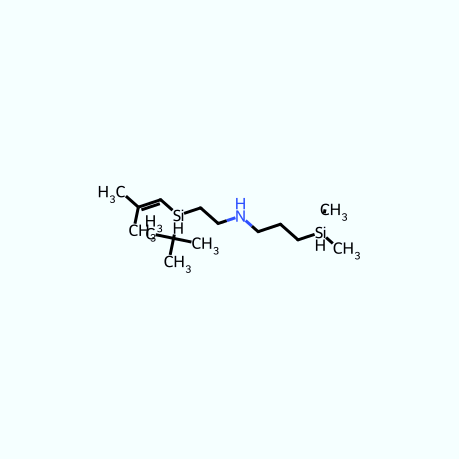 CC(C)=C[SiH](CCNCCC[SiH](C)C)C(C)(C)C